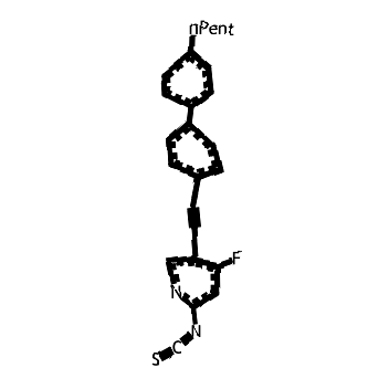 CCCCCc1ccc(-c2ccc(C#Cc3cnc(N=C=S)cc3F)cc2)cc1